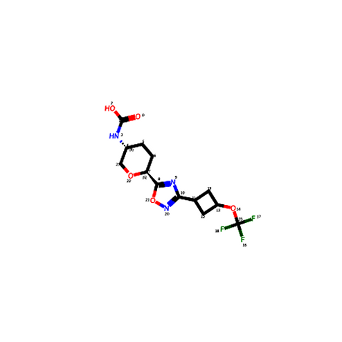 O=C(O)N[C@@H]1CC[C@@H](c2nc(C3CC(OC(F)(F)F)C3)no2)OC1